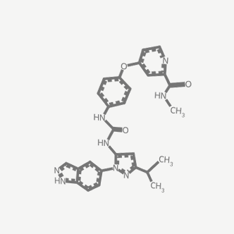 CNC(=O)c1cc(Oc2ccc(NC(=O)Nc3cc(C(C)C)nn3-c3ccc4[nH]ncc4c3)cc2)ccn1